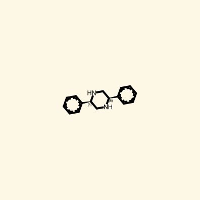 c1ccc([C@@H]2CN[C@H](c3ccccc3)CN2)cc1